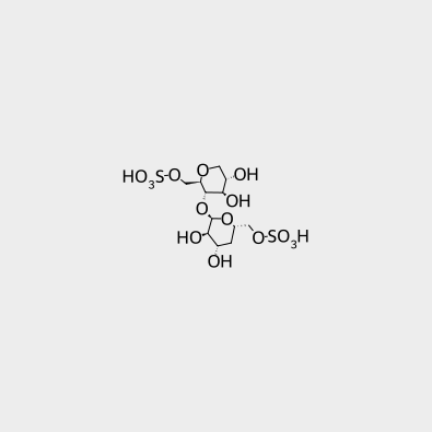 O=S(=O)(O)OC[C@@H]1C[C@H](O)[C@@H](O)[C@@H](O[C@H]2[C@H](O)[C@@H](O)CO[C@@H]2COS(=O)(=O)O)O1